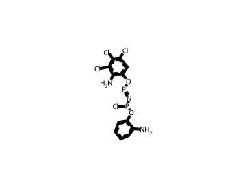 Nc1ccccc1OP(Cl)N=POc1cc(Cl)c(Cl)c(Cl)c1N